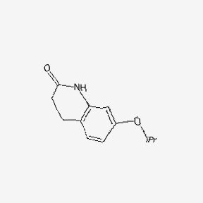 CC(C)Oc1ccc2c(c1)NC(=O)CC2